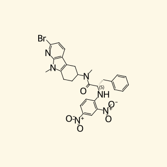 CN(C(=O)[C@H](Cc1ccccc1)Nc1ccc([N+](=O)[O-])cc1[N+](=O)[O-])C1CCc2c(c3ccc(Br)nc3n2C)C1